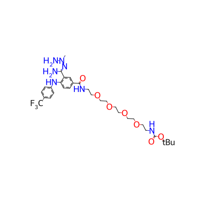 CN(N)/N=C(\N)c1cc(C(=O)NCCOCCOCCOCCOCCNC(=O)OC(C)(C)C)ccc1Nc1ccc(C(F)(F)F)cc1